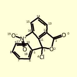 O=C1OC(Cl)(c2ccccc2)c2c1cccc2[N+](=O)[O-]